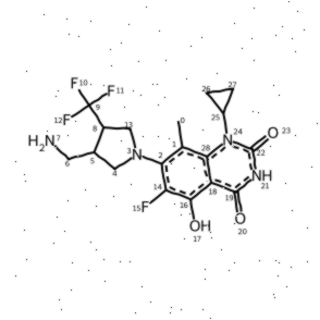 Cc1c(N2CC(CN)C(C(F)(F)F)C2)c(F)c(O)c2c(=O)[nH]c(=O)n(C3CC3)c12